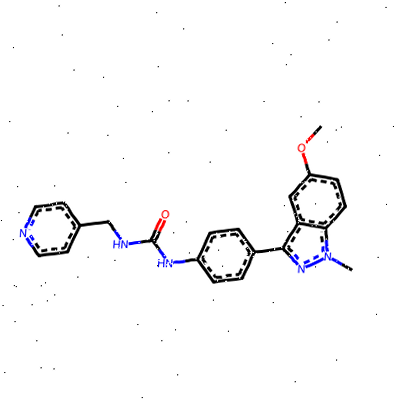 COc1ccc2c(c1)c(-c1ccc(NC(=O)NCc3ccncc3)cc1)nn2C